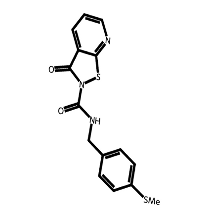 CSc1ccc(CNC(=O)n2sc3ncccc3c2=O)cc1